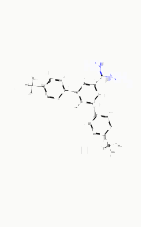 Cc1c(-c2ccc(C(C)(C)C)cc2)cc(C(=N)N)cc1-c1ccc(C(C)(C)C)cc1